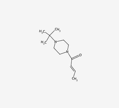 C/C=C/C(=O)N1CCN(C(C)(C)C)CC1